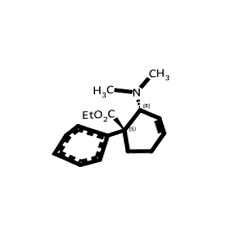 CCOC(=O)[C@]1(c2ccccc2)CCC=C[C@H]1N(C)C